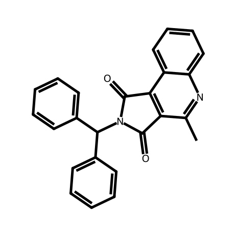 Cc1nc2ccccc2c2c1C(=O)N(C(c1ccccc1)c1ccccc1)C2=O